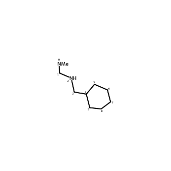 CNCNCC1CCCCC1